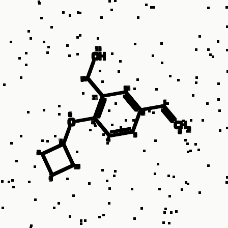 C=Cc1ccc(OC2CCC2)c(CO)c1